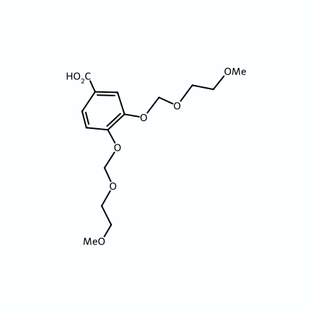 COCCOCOc1ccc(C(=O)O)cc1OCOCCOC